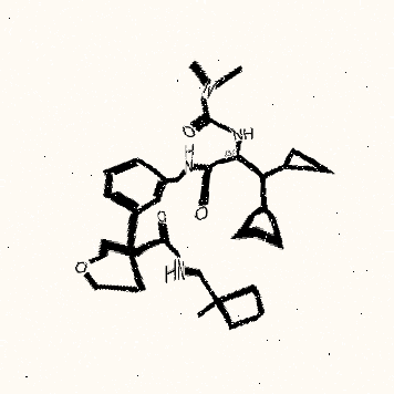 CN(C)C(=O)N[C@H](C(=O)Nc1cccc(C2(C(=O)NCC3(C)CCC3)CCOC2)c1)C(C1CC1)C1CC1